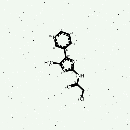 Cc1sc(NC(=O)CCl)nc1-c1cccnc1